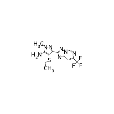 CCSc1c(-c2nc3cc(C(F)(F)F)ncn3n2)nn(C)c1N